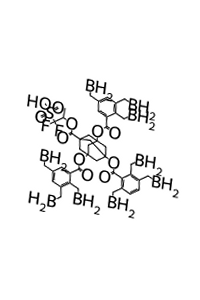 BCc1cc(CB)c(CB)c(C(=O)OC23CC4(OC(=O)c5cc(CB)cc(CB)c5CB)CC(OC(=O)c5c(CB)ccc(CB)c5CB)(C2)CC(C(=O)OC(C)C(F)(F)S(=O)(=O)O)(C3)C4)c1